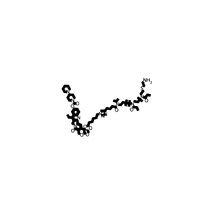 CCC(=O)N(CCSCCN)C(C)(C)CCN(C(=O)CC)C(C)(C)C(C)(C)CCN(C(=O)CCCc1cn(CCCCCC(=O)O[C@]2(CC)C(=O)OCc3c2cc2n(c3=O)Cc3c-2nc2ccc(OC(=O)N4CCC(N5CCCCC5)CC4)cc2c3CC)nn1)C(C)C